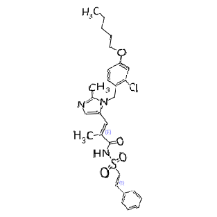 CCCCCOc1ccc(Cn2c(/C=C(\C)C(=O)NS(=O)(=O)/C=C/c3ccccc3)cnc2C)c(Cl)c1